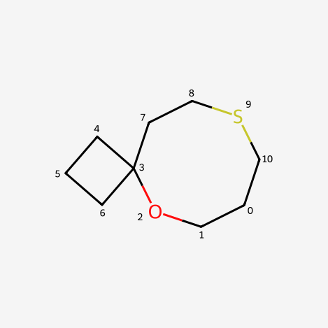 C1COC2(CCC2)CCSC1